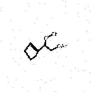 CCOC(COC(C)=O)C1=CCCC1